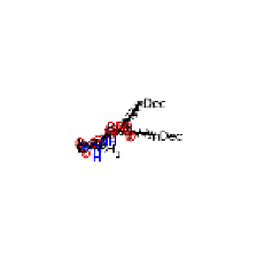 CCCCCCCCCCCCCCCCCC(=O)OC[C@H](COP(=O)(O)OCCNC(=O)C(C)NC(=O)CCN1C(=O)C=CC1=O)OC(=O)CCCCCCCCCCCCCCCCC